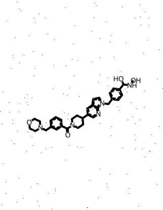 O=C(c1cccc(CN2CCOCC2)c1)N1CCC(c2cnc3c(ccn3Cc3ccc(C(O)NO)cc3)c2)CC1